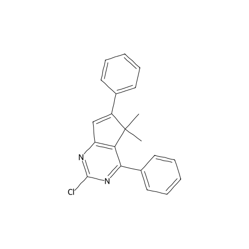 CC1(C)C(c2ccccc2)=Cc2nc(Cl)nc(-c3ccccc3)c21